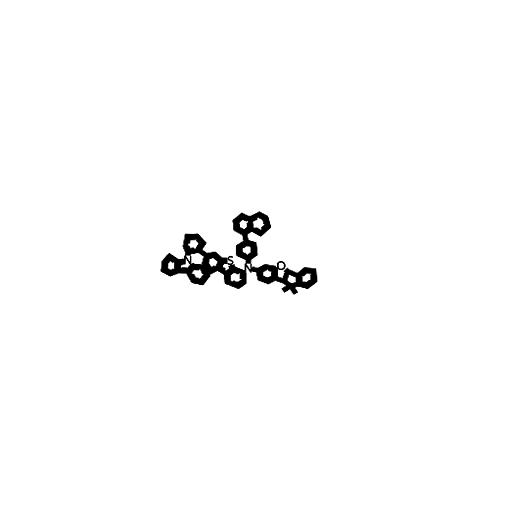 CC1(C)c2ccccc2C2Oc3cc(N(c4ccc(-c5cccc6ccccc56)cc4)c4cccc5c4sc4cc(-c6ccccc6-n6c7ccccc7c7ccccc76)ccc45)ccc3C21